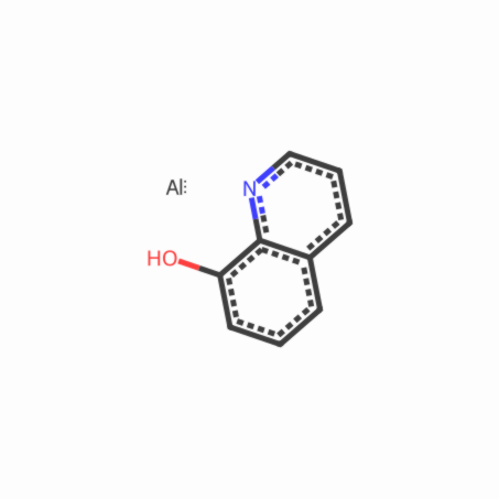 Oc1cccc2cccnc12.[Al]